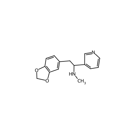 CNC(Cc1ccc2c(c1)OCO2)c1cccnc1